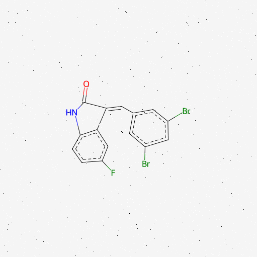 O=C1Nc2ccc(F)cc2/C1=C\c1cc(Br)cc(Br)c1